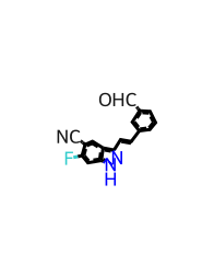 N#Cc1cc2c(C=Cc3cccc(C=O)c3)n[nH]c2cc1F